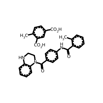 Cc1ccc(C(=O)O)cc1C(=O)O.Cc1ccccc1C(=O)Nc1ccc(C(=O)N2CCNc3ccccc32)cc1